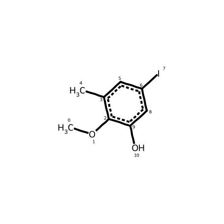 COc1c(C)cc(I)cc1O